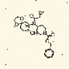 O=C(OCc1ccccc1)N1CCC(N(C(=O)CBr)[C@@H]2CC3(CC[C@H]2O)OCCO3)CC1